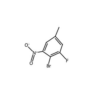 Cc1cc(F)c(Br)c([N+](=O)[O-])c1